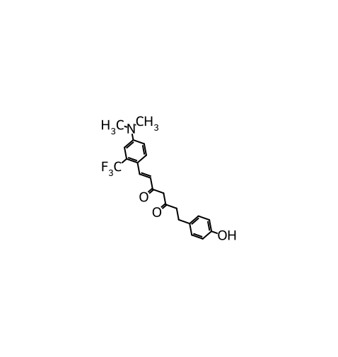 CN(C)c1ccc(/C=C/C(=O)CC(=O)CCc2ccc(O)cc2)c(C(F)(F)F)c1